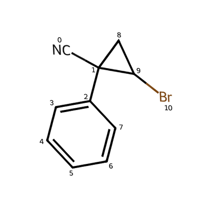 N#CC1(c2ccccc2)CC1Br